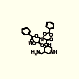 NCC1CCCNC1.O=C(OC(C(=O)O)[C@H](OC(=O)c1ccccc1)C(=O)O)c1ccccc1